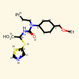 CCOCC1CCC(N(CCC(C)C)C(=O)NC(Sc2cncs2)C(=O)O)CC1